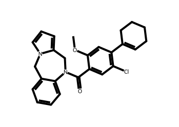 COc1cc(C2=CCCCC2)c(Cl)cc1C(=O)N1Cc2cccn2Cc2ccccc21